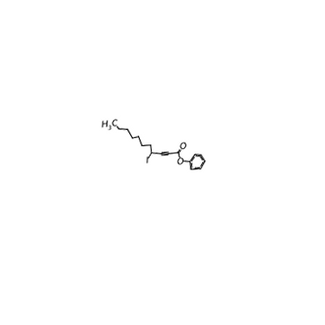 CCCCCCCC(I)C#CC(=O)Oc1ccccc1